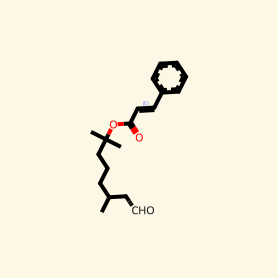 CC(CC=O)CCCC(C)(C)OC(=O)/C=C/c1ccccc1